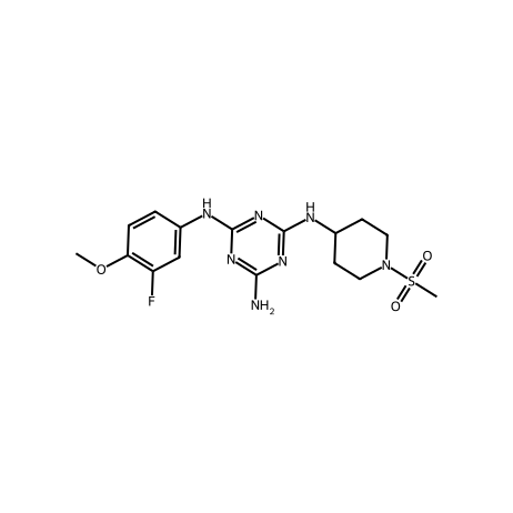 COc1ccc(Nc2nc(N)nc(NC3CCN(S(C)(=O)=O)CC3)n2)cc1F